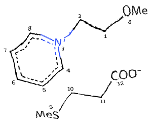 COCC[n+]1ccccc1.CSCCC(=O)[O-]